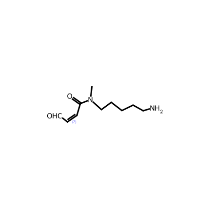 CN(CCCCCN)C(=O)/C=C\C=O